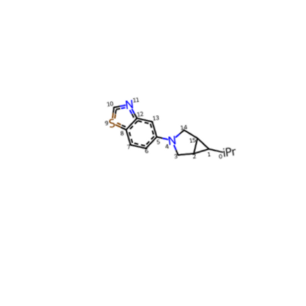 CC(C)C1C2CN(c3ccc4scnc4c3)CC21